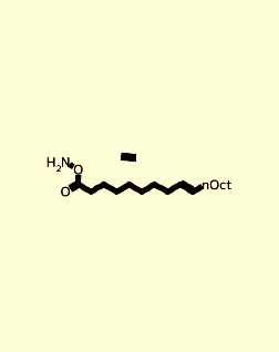 C=C.CCCCCCCCC=CCCCCCCCC(=O)ON